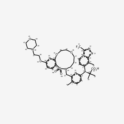 Cc1ccc([C@@H](c2ccn3c(C(F)(F)F)nnc3c2C)C(C)(C)C(=O)O)nc1CN1CCCOCCOc2nc(OCCN3CCOCC3)ccc2S1(=O)=O